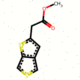 COC(=O)Cc1cc2cscc2s1